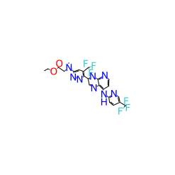 CCOC(=O)CN(C)c1cc(C(F)(F)F)c(-c2cnc3c(Nc4ccc(C(F)(F)F)cn4)ccnc3n2)nn1